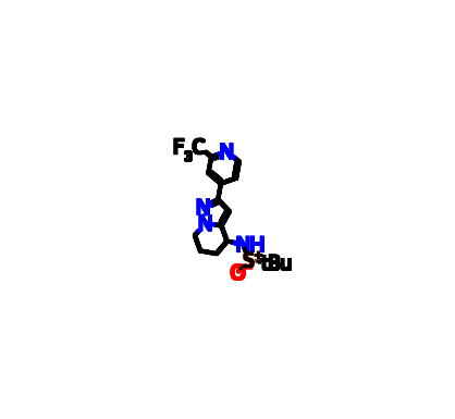 CC(C)(C)[S@+]([O-])N[C@H]1CCCn2nc(-c3ccnc(C(F)(F)F)c3)cc21